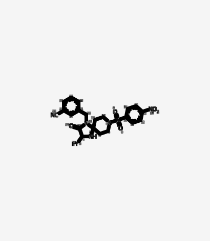 CC(C)C1NC2(CCN(S(=O)(=O)c3ccc([N+](=O)[O-])cc3)CC2)N(Cc2cccc(C#N)c2)C1=O